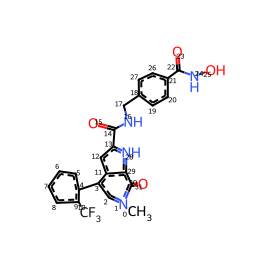 Cn1cc(-c2ccccc2C(F)(F)F)c2cc(C(=O)NCc3ccc(C(=O)NO)cc3)[nH]c2c1=O